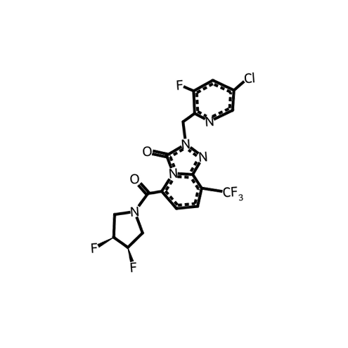 O=C(c1ccc(C(F)(F)F)c2nn(Cc3ncc(Cl)cc3F)c(=O)n12)N1C[C@@H](F)[C@@H](F)C1